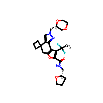 CC(F)(F)c1c(C(=O)NC[C@@H]2CCCO2)oc2c1-c1nn(C[C@H]3COCCO3)cc1C1(CCC1)C2